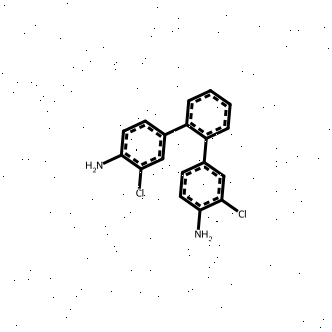 Nc1ccc(-c2ccccc2-c2ccc(N)c(Cl)c2)cc1Cl